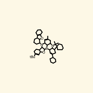 CC1=CC2C3B(C4C=C(C5CCCCC5)CC5C4N(C3C1)C(C)(C)C51CCCCC1)C1OC3C=C(C(C)(C)C)CCC3C1N2C1CCCC2C3=C(CCCC3)OC21